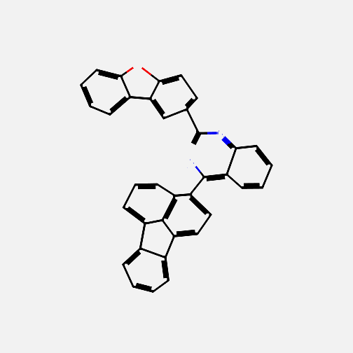 C=C(/N=C1/C=CC=C/C1=C(/N)c1ccc2c3c(cccc13)-c1ccccc1-2)c1ccc2oc3ccccc3c2c1